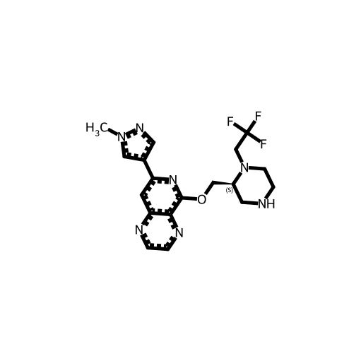 Cn1cc(-c2cc3nccnc3c(OC[C@@H]3CNCCN3CC(F)(F)F)n2)cn1